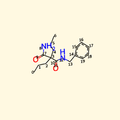 CCCC(CCC)(C(N)=O)C(=O)NCc1ccccc1